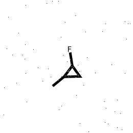 C[C]1CC1F